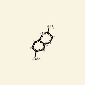 CC(=O)Oc1ccc2nc(C)ccc2c1